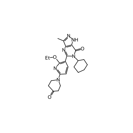 CCOc1nc(N2CCC(=O)CC2)ccc1-c1nc2c(C)n[nH]c2c(=O)n1C1CCCCC1